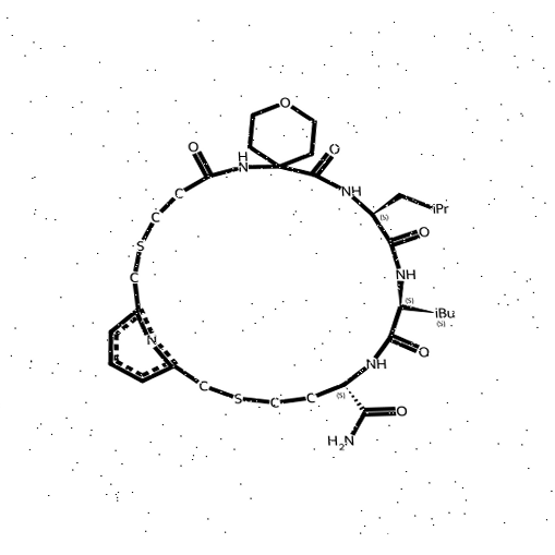 CC[C@H](C)[C@@H]1NC(=O)[C@H](CC(C)C)NC(=O)C2(CCOCC2)NC(=O)CCSCc2cccc(n2)CSCC[C@@H](C(N)=O)NC1=O